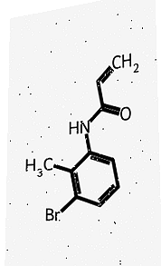 C=CC(=O)Nc1cccc(Br)c1C